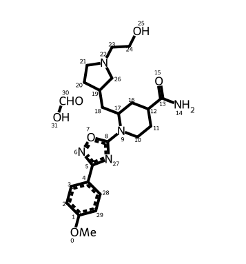 COc1ccc(-c2noc(N3CCC(C(N)=O)CC3CC3CCN(CCO)C3)n2)cc1.O=CO